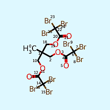 CC(COC(=O)C(Br)(Br)Br)(COC(=O)C(Br)(Br)Br)COC(=O)C(Br)(Br)Br